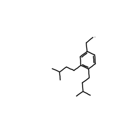 [CH2]Cc1ccc(CCC(C)C)c(CCC(C)C)c1